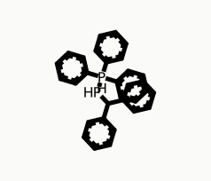 c1ccc(C(P[PH](c2ccccc2)(c2ccccc2)c2ccccc2)c2ccccc2)cc1